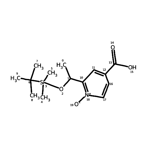 CC(O[Si](C)(C)C(C)(C)C)c1cc(C(=O)O)cc[n+]1[O-]